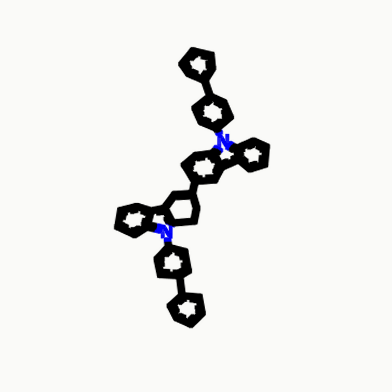 C1=C(c2ccc3c(c2)c2ccccc2n3-c2ccc(-c3ccccc3)cc2)CCc2c1c1ccccc1n2-c1ccc(-c2ccccc2)cc1